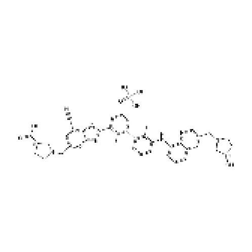 Cc1c(Nc2nccc3cc(CN4CC[C@@H](O)C4)cnc23)cccc1-c1cccc(-c2nc3cc(CN4CC[C@@H](C(=O)O)C4)cc(C#N)c3o2)c1C.O=P(O)(O)O